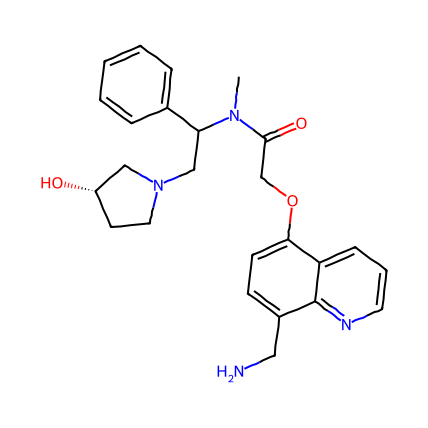 CN(C(=O)COc1ccc(CN)c2ncccc12)C(CN1CC[C@H](O)C1)c1ccccc1